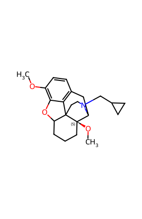 COc1ccc2c3c1OC1CCC[C@@]4(OC)C(C2)N(CC2CC2)CCC314